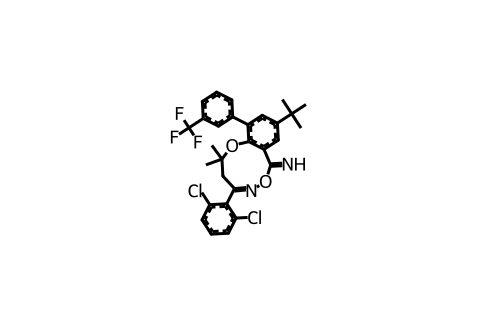 CC1(C)C/C(c2c(Cl)cccc2Cl)=N\OC(=N)c2cc(C(C)(C)C)cc(-c3cccc(C(F)(F)F)c3)c2O1